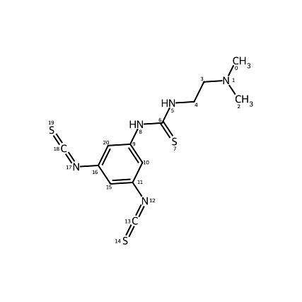 CN(C)CCNC(=S)Nc1cc(N=C=S)cc(N=C=S)c1